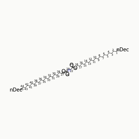 CCCCCCCCCCCCCCCCCCCCCCCCCCCCOC(=O)/C=C/C(=O)OCCCCCCCCCCCCCCCCCCCCCCCCCCCC